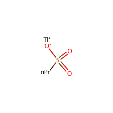 CCCS(=O)(=O)[O-].[Tl+]